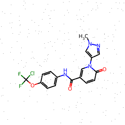 Cn1cc(-n2cc(C(=O)Nc3ccc(OC(F)(F)Cl)cc3)ccc2=O)cn1